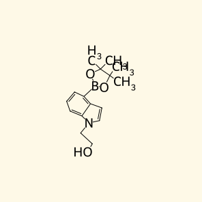 CC1(C)OB(c2cccc3c2ccn3CCO)OC1(C)C